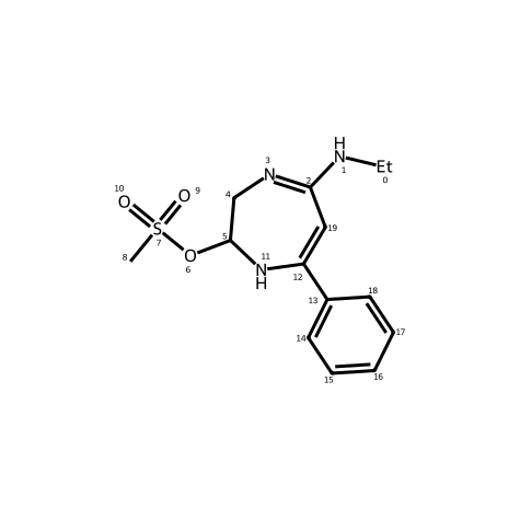 CCNC1=NCC(OS(C)(=O)=O)NC(c2ccccc2)=C1